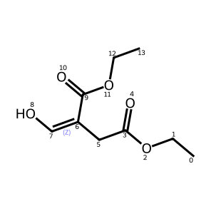 CCOC(=O)C/C(=C/O)C(=O)OCC